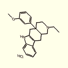 CCN1CCC2(c3cccc(OC)c3)Cc3[nH]c4ccccc4c3CC2C1.Cl